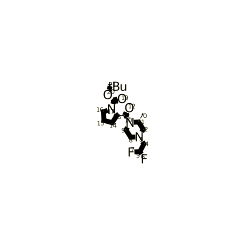 C[C@@H]1CN(CC(F)F)CCN1C(=O)[C@@H]1CCCN1C(=O)OC(C)(C)C